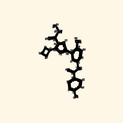 CCc1ccc(C(=O)Nc2ccc(O)c(-c3cc(C4CCC4)n(C(=O)NC(C)C)n3)c2)cc1